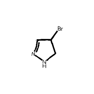 BrC1[C]=NNC1